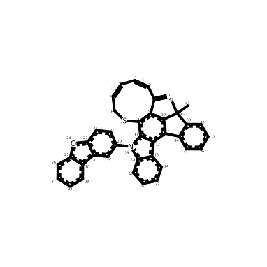 C=C1/C=C\C=C/CSc2c1c1c(c3c4ccccc4n(-c4ccc5oc6ccccc6c5c4)c23)-c2ccccc2C1(C)C